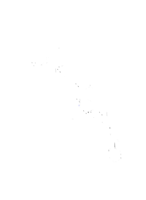 C=C(/C=C(\N=C(/N)CF)C(=O)N1CCC(N[C@@H]2CCOC[C@@H]2OC)CC1)NC[C@H]1CCC[C@@H](c2ccc(C)cc2)O1